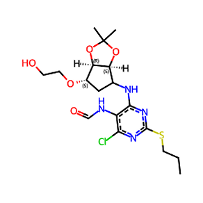 CCCSc1nc(Cl)c(NC=O)c(NC2C[C@H](OCCO)[C@H]3OC(C)(C)O[C@@H]23)n1